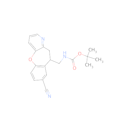 CC(C)(C)OC(=O)NCC1Cc2ncccc2Oc2ccc(C#N)cc21